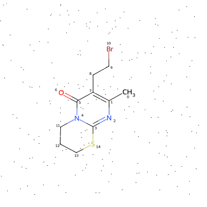 Cc1nc2n(c(=O)c1CCBr)CCCS2